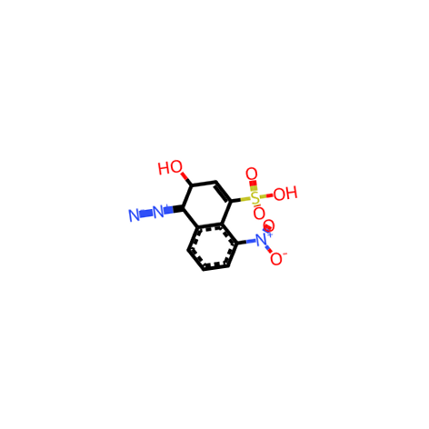 [N-]=[N+]=C1c2cccc([N+](=O)[O-])c2C(S(=O)(=O)O)=CC1O